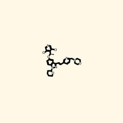 C[C@@H](Oc1ccc2c(c1)c(/C=C/c1ccc(CN3CCOCC3)nc1)nn2C1CCCCO1)c1c(Cl)cncc1Cl